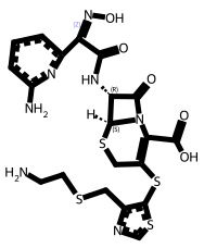 NCCSCc1ncsc1SC1=C(C(=O)O)N2C(=O)[C@@H](NC(=O)/C(=N\O)c3cccc(N)n3)[C@@H]2SC1